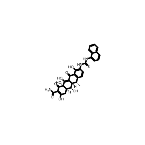 C[C@H]1c2ccc(NC(=S)Nc3cccc4ccccc34)c(O)c2C(=O)C2=C(O)[C@]3(O)C(=O)C(C(N)=O)=C(O)C[C@@H]3[C@@H](O)[C@@H]21